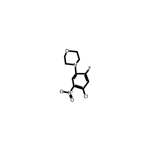 O=[N+]([O-])c1cc(N2CCOCC2)c(F)cc1Cl